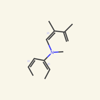 C=C(C)/C(C)=C\N(C)C(/C=C\C)=C/C